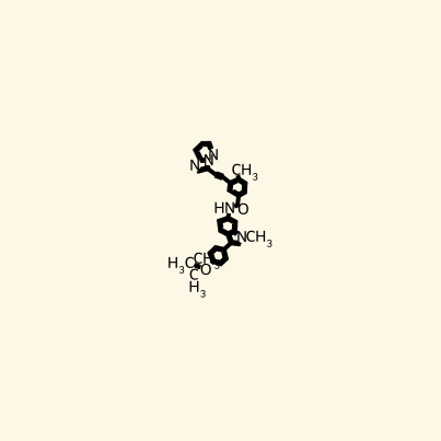 Cc1ccc(C(=O)Nc2ccc3c(-c4ccc(OC(C)(C)C)cc4)cn(C)c3c2)cc1C#Cc1cnc2cccnn12